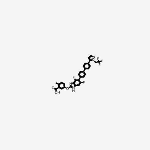 Cc1ccc(Oc2nc3c(F)c(-c4ccc(-c5ccc(-c6ccnn6CC(F)(F)F)cc5)cc4)c(F)cc3[nH]2)cc1C(=O)O